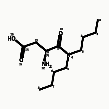 CCCCN(CCCC)C(=O)[C@@H](N)CC(=O)O